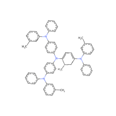 Cc1cccc(N(C2=CC=C(N(c3ccc(N(c4ccccc4)c4cccc(C)c4)cc3)c3ccc(N(c4ccccc4)c4cccc(C)c4)cc3)C(C)C2)c2ccccc2)c1